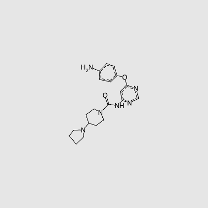 Nc1ccc(Oc2cc(NC(=O)N3CCC(N4CCCC4)CC3)ncn2)cc1